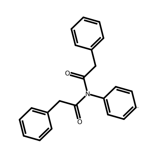 O=C(Cc1ccccc1)N(C(=O)Cc1ccccc1)c1cc[c]cc1